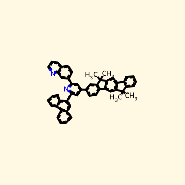 CC1(C)c2ccccc2-c2cc3c(cc21)-c1ccc(-c2cc(-c4ccc5cccnc5c4)nc(-c4cc5ccccc5c5ccccc45)c2)cc1C3(C)C